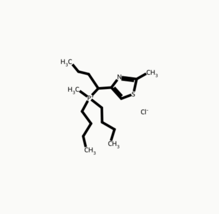 CCCC[P+](C)(CCCC)C(CCC)c1csc(C)n1.[Cl-]